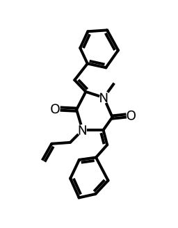 C=CCn1c(=O)c(=Cc2ccccc2)n(C)c(=O)c1=Cc1ccccc1